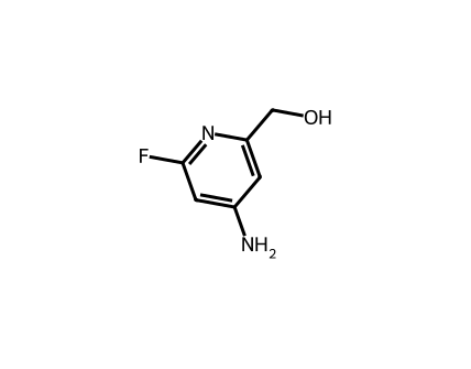 Nc1cc(F)nc(CO)c1